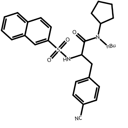 CCCCN(C(=O)C(Cc1ccc(C#N)cc1)NS(=O)(=O)c1ccc2ccccc2c1)C1CCCC1